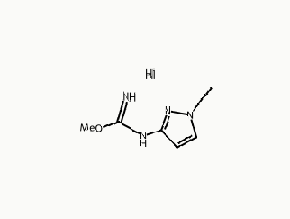 COC(=N)Nc1ccn(C)n1.I